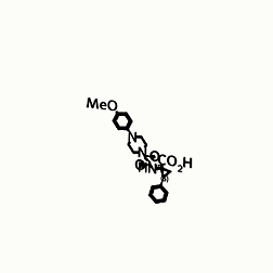 COc1ccc(N2CCN(S(=O)(=O)N[C@]3(C(=O)O)C[C@H]3c3ccccc3)CC2)cc1